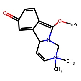 CCCOC1=C2C=CC(=O)C=C2C2C=C[N+](C)(C)CN12